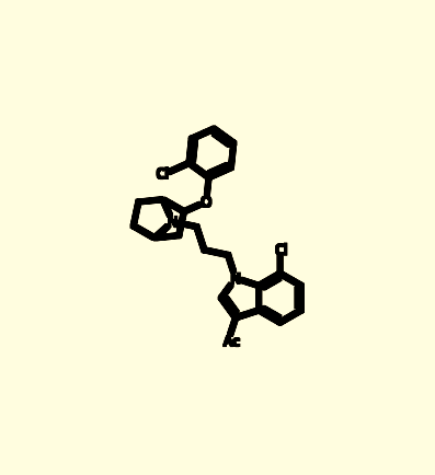 CC(=O)c1cn(CCCN2C3CCC2C(Oc2ccccc2Cl)C3)c2c(Cl)cccc12